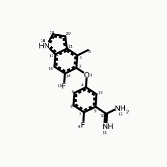 Cc1c(Oc2ccc(F)c(C(=N)N)c2)c(F)cc2[nH]ccc12